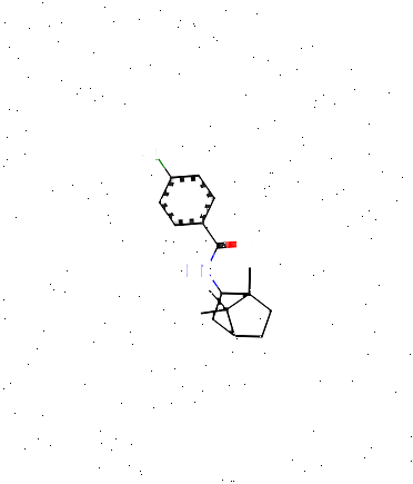 CC1(C)C2CCC1(C)C(NC(=O)c1ccc(Cl)cc1)C2